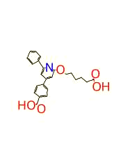 O=C(O)CCCCCOc1cc(-c2ccc(C(=O)O)cc2)cc(-c2ccccc2)n1